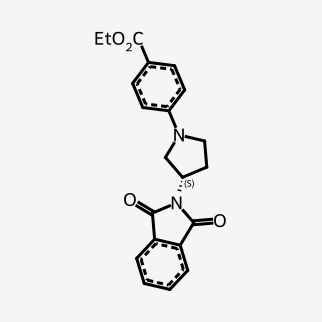 CCOC(=O)c1ccc(N2CC[C@H](N3C(=O)c4ccccc4C3=O)C2)cc1